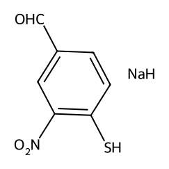 O=Cc1ccc(S)c([N+](=O)[O-])c1.[NaH]